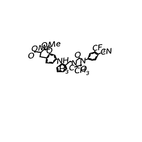 COC(=O)C(Cc1ccc(Nc2ccccc2CN2C(=O)N(c3ccc(C#N)c(C(F)(F)F)c3)C(=O)C2(C)C)cc1)C(=O)OC